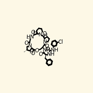 C[C@H]1C[C@H]2C(=O)OC[C@H](NC(=O)[C@H](Cc3ccccc3)NC(=O)Nc3cccc(Cl)c3)C(=O)N3CCC[C@H]3C(=O)N3CCCC[C@H]3C(=O)N[C@@H](C)C(=O)N2C1